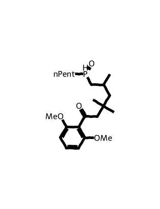 CCCCC[PH](=O)CC(C)CC(C)(C)CC(=O)c1c(OC)cccc1OC